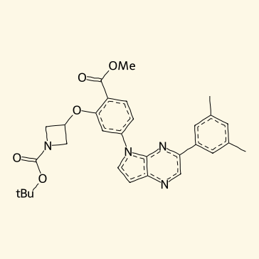 COC(=O)c1ccc(-n2ccc3ncc(-c4cc(C)cc(C)c4)nc32)cc1OC1CN(C(=O)OC(C)(C)C)C1